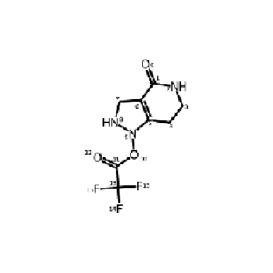 O=C1NCCC2=C1CNN2OC(=O)C(F)(F)F